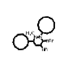 CCCC1CC(C2CCCCCCCCC2)N(C)N(C2CCCCCCCCCC2)C1CCC